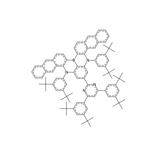 CC(C)(C)c1cc(-c2cc(-c3cc(C(C)(C)C)cc(C(C)(C)C)c3)nc(-c3cc4c5c(c3)N(c3cc(C(C)(C)C)cc(C(C)(C)C)c3)c3c(ccc6cc7ccccc7cc36)B5c3ccc5cc6ccccc6cc5c3N4c3cc(C(C)(C)C)cc(C(C)(C)C)c3)n2)cc(C(C)(C)C)c1